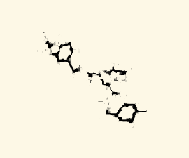 Cc1ccc([C@H](C)NC(=O)c2cc(C(=O)NCc3ccc4oc(=O)[nH]c4c3)nc3c(F)cnn23)cc1